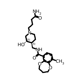 Cc1ccc(C(=O)NC[C@@H]2CCN(CCCC(N)=O)C[C@H]2O)c2c1OCCCO2